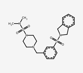 CN(C)S(=O)(=O)N1CCN(Cc2cccc(S(=O)(=O)N3Cc4ccccc4C3)c2)CC1